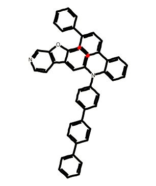 c1ccc(-c2ccc(-c3ccc(N(c4ccc5oc6cnccc6c5c4)c4ccccc4-c4ccc(-c5ccccc5)cc4)cc3)cc2)cc1